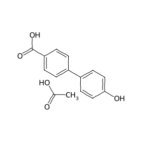 CC(=O)O.O=C(O)c1ccc(-c2ccc(O)cc2)cc1